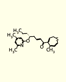 CCC[C@H](C/C=C/C(=O)C1=CCSC=C=C1C)Oc1cc(C)cc(C)n1